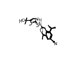 CC(C)c1cc(C#N)cc(C(C)C)c1CC(=O)NSc1ncc(C(C)(C)O)s1